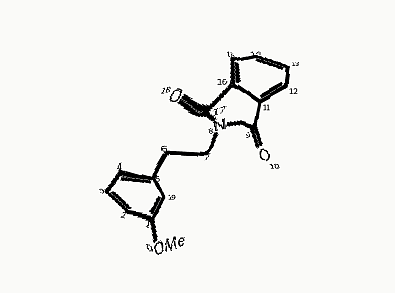 COc1cccc(CCN2C(=O)c3ccccc3C2=O)c1